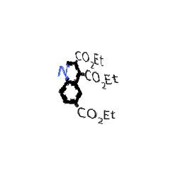 CCOC(=O)c1ccc2ncc(C(=O)OCC)c(C(=O)OCC)c2c1